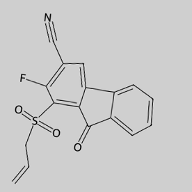 C=CCS(=O)(=O)c1c(F)c(C#N)cc2c1C(=O)c1ccccc1-2